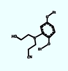 CCOc1ccc(OCC)c(N(CCO)CCC#N)c1